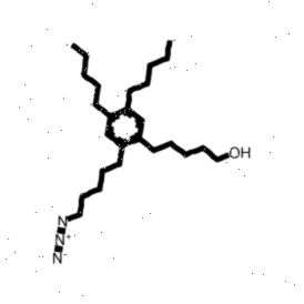 [CH2]CCC[CH]c1cc(CCCCCO)c(CCCCCN=[N+]=[N-])cc1[CH]CCC[CH2]